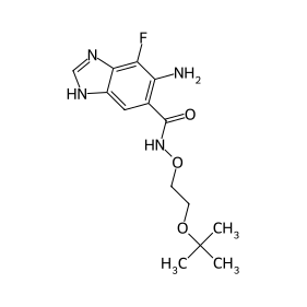 CC(C)(C)OCCONC(=O)c1cc2[nH]cnc2c(F)c1N